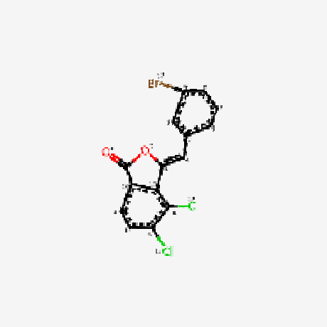 O=C1O/C(=C\c2cccc(Br)c2)c2c1ccc(Cl)c2Cl